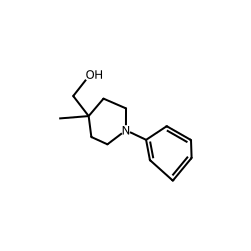 CC1(CO)CCN(c2ccccc2)CC1